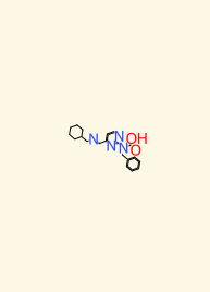 O=C(O)N(Cc1ccccc1)c1nccc(/C=N/CC2CCCCC2)n1